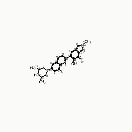 CC1CN(c2cc(F)c3nc(-c4cc5cn(C)nc5c(F)c4O)ccc3c2)CC(C)N1